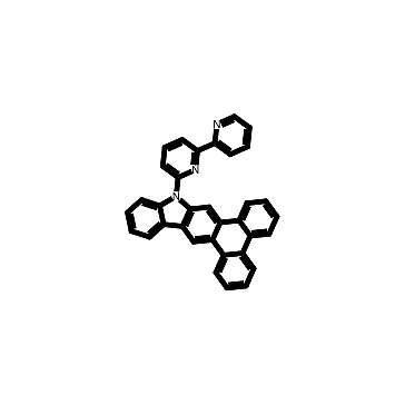 c1ccc(-c2cccc(-n3c4ccccc4c4cc5c6ccccc6c6ccccc6c5cc43)n2)nc1